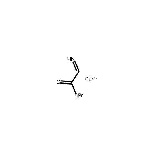 CCCC(=O)C=N.[Cu+2]